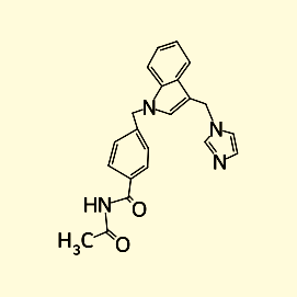 CC(=O)NC(=O)c1ccc(Cn2cc(Cn3ccnc3)c3ccccc32)cc1